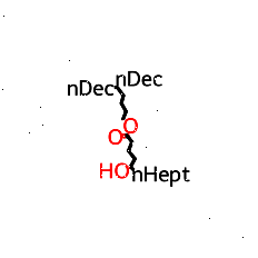 CCCCCCCCCCC(CCCCCCCCCC)CCCCOC(=O)CCCC(O)CCCCCCC